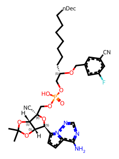 CCCCCCCCCCCCCCCCC[C@@H](COP(=O)(O)OC[C@@]1(C#N)O[C@@H](c2ccc3c(N)ncnn23)[C@@H]2OC(C)(C)O[C@@H]21)OCc1cc(F)cc(C#N)c1